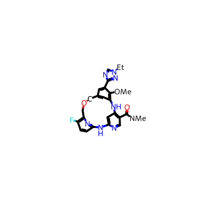 CCn1cnc(-c2cc3cc(c2OC)Nc2cc(ncc2C(=O)NC)Nc2ccc(F)c(n2)COC3)n1